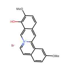 COc1ccc2cc[n+]3cc4c(O)c(OC)ccc4cc3c2c1.[Br-]